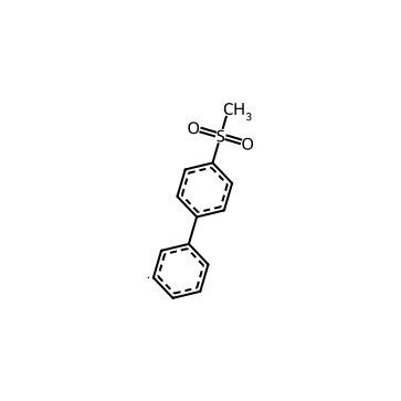 CS(=O)(=O)c1ccc(-c2c[c]ccc2)cc1